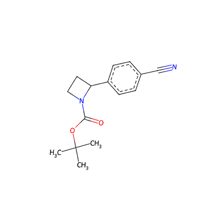 CC(C)(C)OC(=O)N1CCC1c1ccc(C#N)cc1